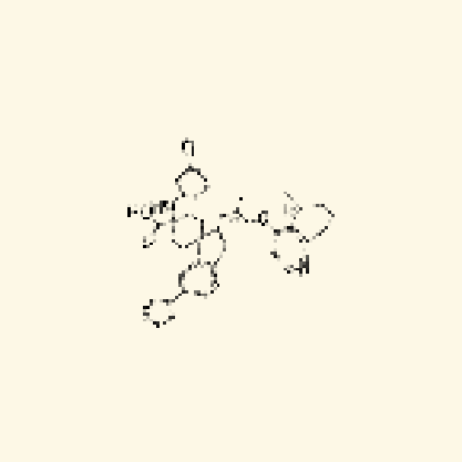 C[C@@H](COc1ccnc2c1[C@H](C)CCC2)CC1Cc2ccc(-c3ccsc3)cc2C12CCC(Nc1cccc(Cl)c1)(C(=O)O)CC2